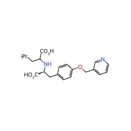 CC(C)CC(N[C@@H](Cc1ccc(OCc2cccnc2)cc1)C(=O)O)C(=O)O